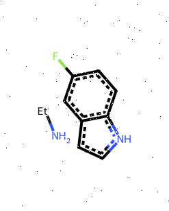 CCN.Fc1ccc2[nH]ccc2c1